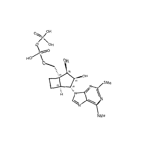 CNc1nc(SC)nc2c1ncn2[C@H]1[C@H](O)[C@H](O)[C@]2(COP(=O)(O)OP(=O)(O)O)CC[C@H]12